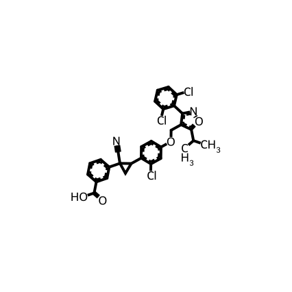 CC(C)c1onc(-c2c(Cl)cccc2Cl)c1COc1ccc(C2CC2(C#N)c2cccc(C(=O)O)c2)c(Cl)c1